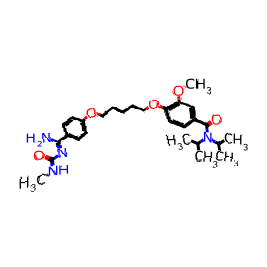 CNC(=O)N=C(N)c1ccc(OCCCCCOc2ccc(C(=O)N(C(C)C)C(C)C)cc2OC)cc1